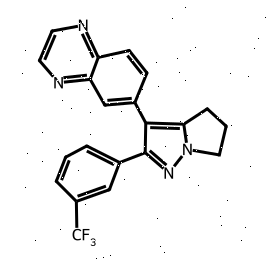 FC(F)(F)c1cccc(-c2nn3c(c2-c2ccc4nccnc4c2)CCC3)c1